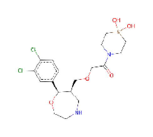 O=C(COC[C@H]1CNCCO[C@H]1c1ccc(Cl)c(Cl)c1)N1CCS(O)(O)CC1